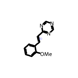 COc1ccccc1/C=C/c1ncncn1